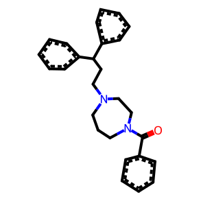 O=C(c1ccccc1)N1CCCN(CCC(c2ccccc2)c2ccccc2)CC1